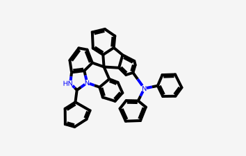 c1ccc(C2Nc3cccc4c3N2c2ccccc2C42c3ccccc3-c3ccc(N(c4ccccc4)c4ccccc4)cc32)cc1